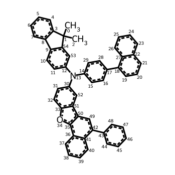 CC1(C)c2ccccc2-c2ccc(N(c3ccc(-c4cccc5ccccc45)cc3)c3ccc4oc5c6ccccc6c(-c6ccccc6)cc5c4c3)cc21